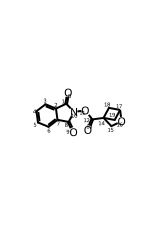 O=C1c2ccccc2C(=O)N1OC(=O)C12COC(C1)C2